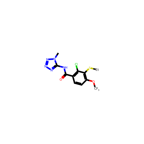 CCSc1c(OC(F)(F)F)ccc(C(=O)Nc2nnnn2C)c1Cl